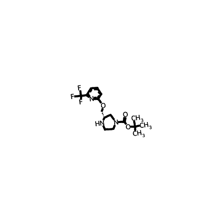 CC(C)(C)OC(=O)N1CCN[C@H](COc2cccc(C(F)(F)F)n2)C1